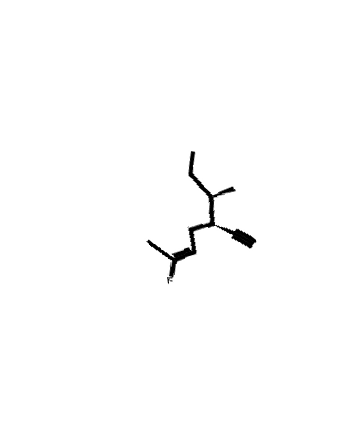 C#C[C@@H](C/C=C(\C)F)[C@H](C)CC